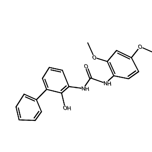 COc1ccc(NC(=O)Nc2cccc(-c3ccccc3)c2O)c(OC)c1